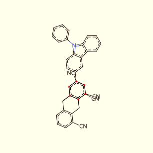 N#Cc1cc(C#N)c2c(c1)C1c3cccc(C#N)c3C2c2c(C#N)cc(-c3ccc4c(c3)c3ccccc3n4-c3ccccc3)cc21